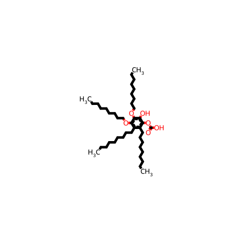 CCCCCCCCCOc1c(O)c(OC(=O)O)c(CCCCCCCCC)c(CCCCCCCCC)c1OCCCCCCCCC